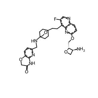 N[C@H]1CO[C@@H]1COc1ccc2ncc(F)c(CCC34CCC(NCc5ccc6c(n5)NC(=O)CO6)(CC3)CO4)c2n1